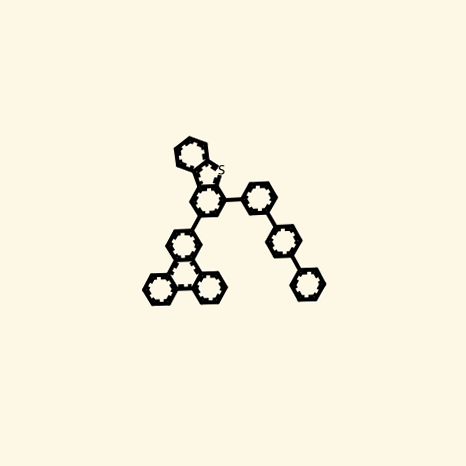 c1ccc(-c2ccc(-c3cccc(-c4cc(-c5ccc6c7ccccc7c7ccccc7c6c5)cc5c4sc4ccccc45)c3)cc2)cc1